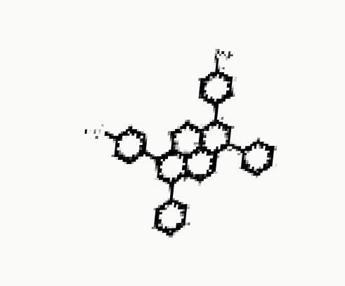 O=C(O)c1ccc(-c2cc(-c3ccccc3)c3ccc4c(-c5ccccc5)cc(-c5ccc(C(=O)O)cc5)c5ccc2c3c45)cc1